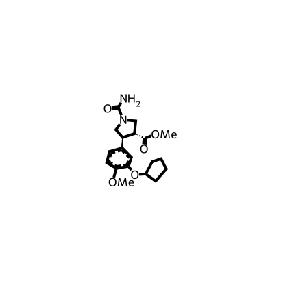 COC(=O)[C@H]1CN(C(N)=O)C[C@@H]1c1ccc(OC)c(OC2CCCC2)c1